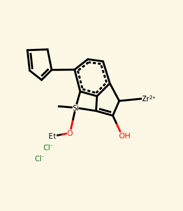 CCO[Si]1(C)C2=C(O)[CH]([Zr+2])c3ccc(C4=CC=CC4)c1c32.[Cl-].[Cl-]